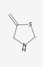 C=C1CN[CH]S1